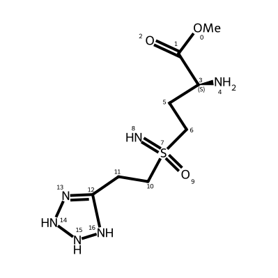 COC(=O)[C@@H](N)CCS(=N)(=O)CCC1=NNNN1